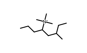 CCCC(CC(C)CC)[N+](C)(C)C